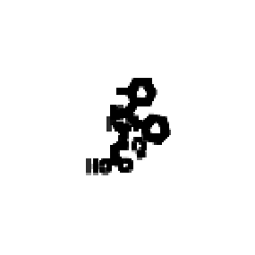 COc1ccccc1-n1c(SCC(=O)O)nnc1-c1ccccc1C